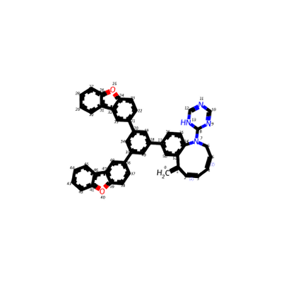 C=C1/C=C\C=C/CN(C2N=CN=CN2)c2ccc(-c3cc(-c4ccc5oc6ccccc6c5c4)cc(-c4ccc5oc6ccccc6c5c4)c3)cc21